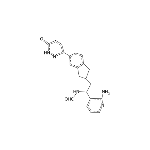 Nc1ncccc1C(CC1Cc2ccc(-c3ccc(=O)[nH]n3)cc2C1)NC=O